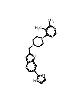 Cc1ncnc(N2CCN(Cc3nc4ccc(-c5ncc[nH]5)cc4o3)CC2)c1C